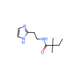 CCC(C)(C)C(=O)NCCc1ncc[nH]1